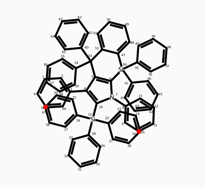 c1ccc(-c2c3c(n(-c4ccccc4)c2[Si](c2ccccc2)(c2ccccc2)c2ccccc2)[Si](c2ccccc2)(c2ccccc2)c2ccccc2C3(c2ccccc2)c2ccccc2)cc1